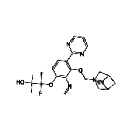 C=Nc1c(OC(F)(F)C(C)(C)O)ccc(-c2ncccn2)c1OCN1CC2CC(C1)N2